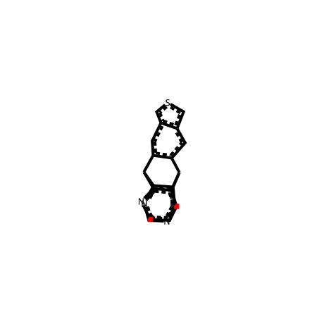 c1cnc2c(c1)C1c3cc4cscc4cc3C2c2ncncc21